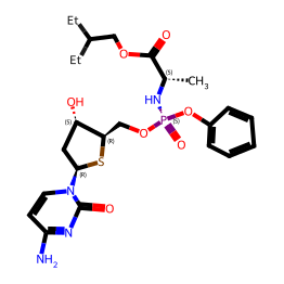 CCC(CC)COC(=O)[C@H](C)N[P@](=O)(OC[C@H]1S[C@@H](n2ccc(N)nc2=O)C[C@@H]1O)Oc1ccccc1